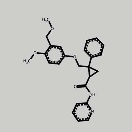 COCc1cc(OCC2(c3ccccc3)CC2C(=O)Nc2ccccn2)ccc1OC